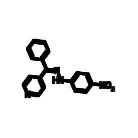 O=[N+]([O-])c1ccc(N/N=C(/c2ccccc2)c2ccncc2)cc1